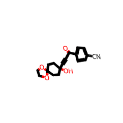 N#Cc1ccc(C(=O)C#CC2(O)CCC3(CC2)OCCO3)cc1